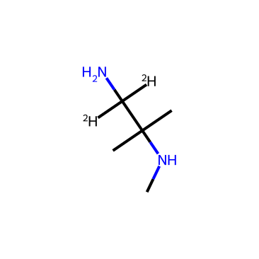 [2H]C([2H])(N)C(C)(C)NC